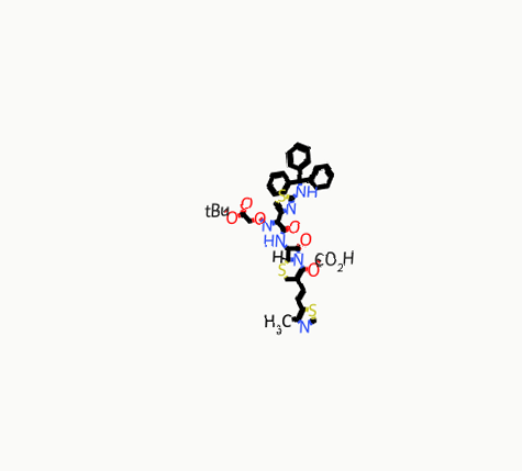 Cc1ncsc1C=CC1=C(OC(=O)O)N2C(=O)C(NC(=O)C(=NOCC(=O)OC(C)(C)C)c3csc(NC(c4ccccc4)(c4ccccc4)c4ccccc4)n3)[C@@H]2SC1